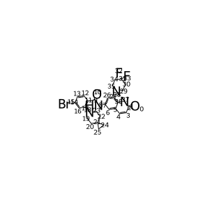 COc1ccc2cc(NC(=O)c3ccc(Br)cc3N3CCC4(CC3)CC4)cc(N3CCC(F)(F)CC3)c2n1